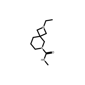 CCN1CC2(CCCN(C(=O)NC)C2)C1